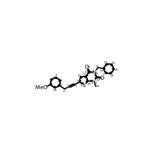 COc1cccc(CC#Cc2cc3c(=O)n(Cc4ccccc4)c(=O)n(C)c3s2)c1